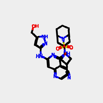 N#CC1CN(S(=O)(=O)N2C3CCCC2CC(Nc2nc(Nc4cc(CO)[nH]n4)cc4ncccc24)C3)C1